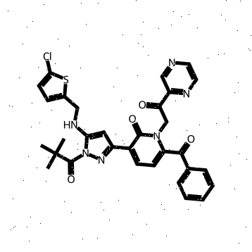 CC(C)(C)C(=O)n1nc(-c2ccc(C(=O)c3ccccc3)n(CC(=O)c3cnccn3)c2=O)cc1NCc1ccc(Cl)s1